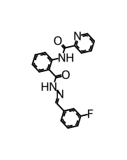 O=C(Nc1ccccc1C(=O)NN=Cc1cccc(F)c1)c1ccccn1